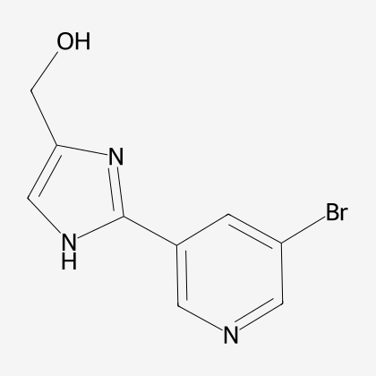 OCc1c[nH]c(-c2cncc(Br)c2)n1